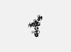 C=C(F)C(=O)N1CC(n2c(=O)n(-c3ccc(C(F)(F)F)nc3)c3c(C(=O)N4CCN(C(=O)Nc5ccccc5)CC4)ccnc32)C1